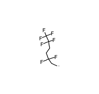 [CH2]CC(F)(F)CCC(F)(F)C(F)(F)F